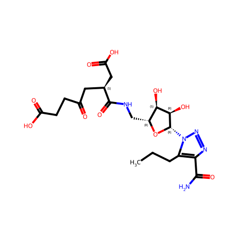 CCCc1c(C(N)=O)nnn1[C@@H]1O[C@H](CNC(=O)[C@H](CC(=O)O)CC(=O)CCC(=O)O)[C@@H](O)[C@H]1O